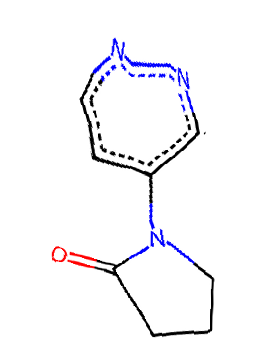 O=C1CCCN1c1[c]nncc1